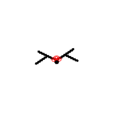 CCCCCCCCCCCC(CCCC=COC(=O)c1ccccc1C(=O)OC=CCCCC(CCCCCCCC)CCCCCCCCCCC)CCCCCCCC